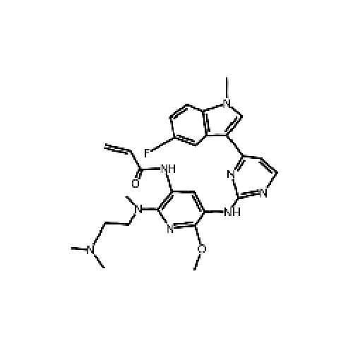 C=CC(=O)Nc1cc(Nc2nccc(-c3cn(C)c4ccc(F)cc34)n2)c(OC)nc1N(C)CCN(C)C